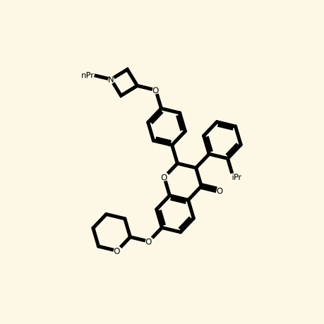 CCCN1CC(Oc2ccc(C3Oc4cc(OC5CCCCO5)ccc4C(=O)C3c3ccccc3C(C)C)cc2)C1